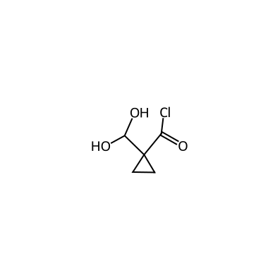 O=C(Cl)C1(C(O)O)CC1